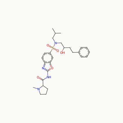 CC(C)CN(CC(O)[CH]Cc1ccccc1)S(=O)(=O)c1ccc2nc(NC(=O)C3CCCN3C)oc2c1